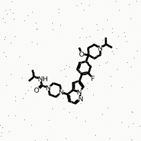 COC1(C2C=CC(c3cc4c(N5CCN(C(=O)NC(C)C)CC5)ccnn4c3)=C(F)C2)CCN(C(C)C)CC1